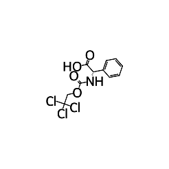 O=C(N[C@H](C(=O)O)c1ccccc1)OCC(Cl)(Cl)Cl